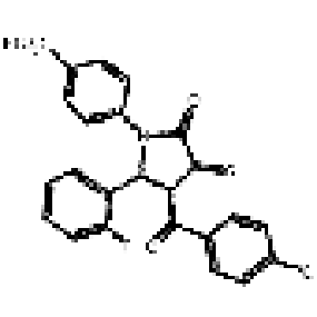 CCOC(=O)c1ccc(N2C(=O)C(=O)C(C(=O)c3ccc(Cl)cc3)C2c2ccccc2F)cc1